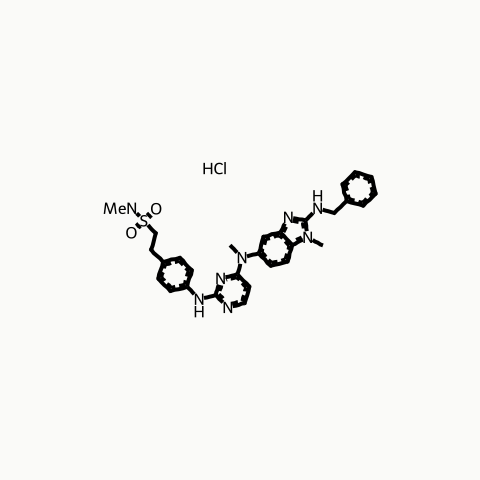 CNS(=O)(=O)CCc1ccc(Nc2nccc(N(C)c3ccc4c(c3)nc(NCc3ccccc3)n4C)n2)cc1.Cl